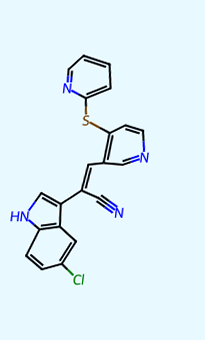 N#C/C(=C\c1cnccc1Sc1ccccn1)c1c[nH]c2ccc(Cl)cc12